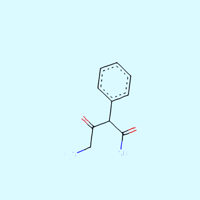 [NH]C(=O)C(C(=O)CN)c1ccccc1